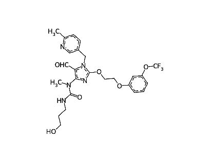 Cc1ccc(Cn2c(OCCOc3cccc(OC(F)(F)F)c3)nc(N(C)C(=O)NCCCO)c2C=O)cn1